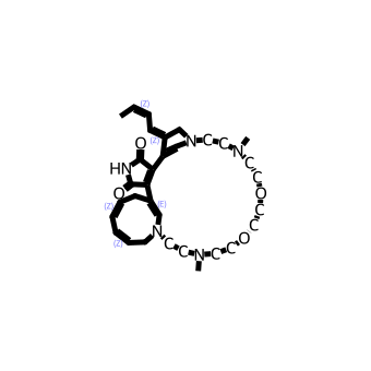 C/C=C\C=C1/CN2C=C1C1=C(C(=O)NC1=O)/C1=C/N(C/C=C\C=C/C1)CCN(C)CCOCCOCCN(C)CC2